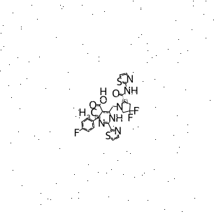 C[C@@]1(c2ccc(F)cc2)N=C(c2nccs2)NC(CN2CC(F)(F)C[C@H]2C(=O)Nc2nccs2)=C1C(=O)O